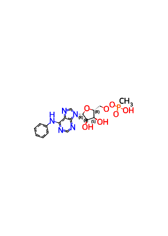 CP(=O)(O)OOC[C@H]1O[C@@H](n2cnc3c(Nc4ccccc4)ncnc32)[C@H](O)[C@@H]1O